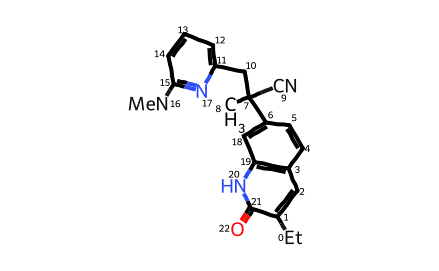 CCc1cc2ccc(C(C)(C#N)Cc3cccc(NC)n3)cc2[nH]c1=O